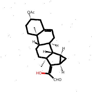 CC(=O)O[C@H]1CC[C@@]2(C)C(=CC[C@H]3[C@@H]4[C@H]5C[C@H]5C(=C(O)C=O)[C@@]4(C)CC[C@@H]32)C1